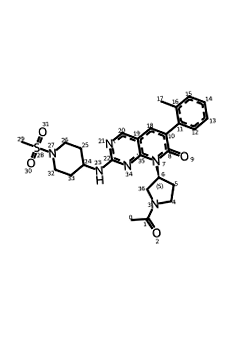 CC(=O)N1CC[C@H](n2c(=O)c(-c3ccccc3C)cc3cnc(NC4CCN(S(C)(=O)=O)CC4)nc32)C1